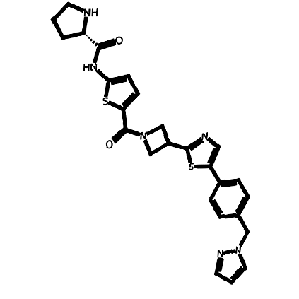 O=C(Nc1ccc(C(=O)N2CC(c3ncc(-c4ccc(Cn5cccn5)cc4)s3)C2)s1)[C@@H]1CCCN1